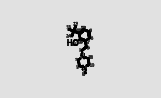 CN1CCN(CCc2cccc(C(C)(C)C)c2O)CC1